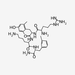 Cc1cccc(CC(NC(=O)C(CCCCN)NC(=O)C(Cc2c(C)cc(O)cc2C)NC(=O)C(N)CCCNC(=N)N)C(N)=O)c1